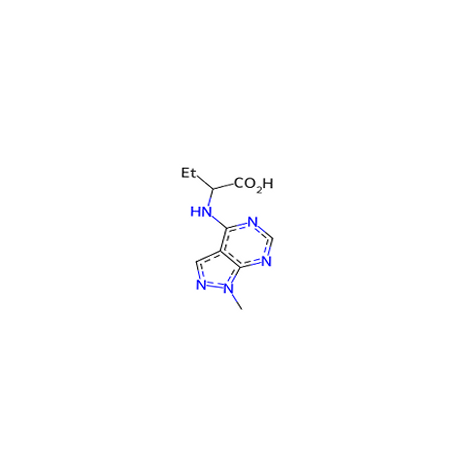 CCC(Nc1ncnc2c1cnn2C)C(=O)O